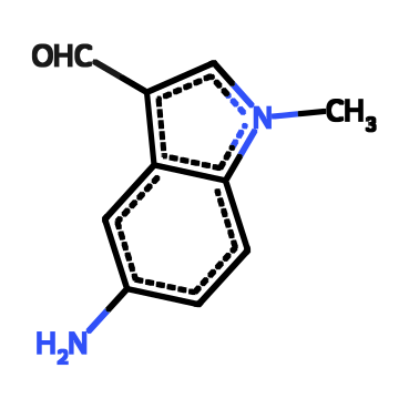 Cn1cc(C=O)c2cc(N)ccc21